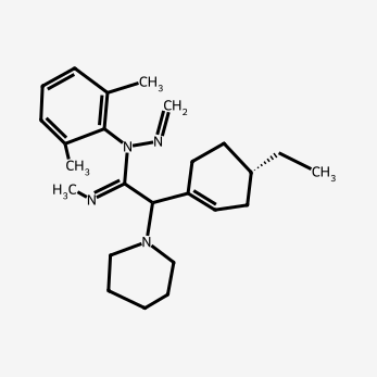 C=NN(/C(=N\C)C(C1=CC[C@@H](CC)CC1)N1CCCCC1)c1c(C)cccc1C